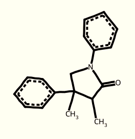 CC1C(=O)N(c2ccccc2)CC1(C)c1ccccc1